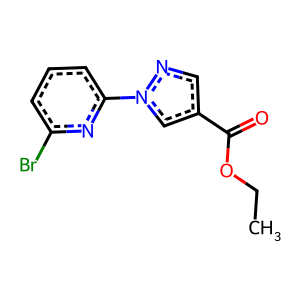 CCOC(=O)c1cnn(-c2cccc(Br)n2)c1